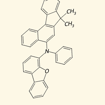 CC1(C)c2ccccc2-c2c1cc(N(c1ccccc1)c1cccc3c1oc1ccccc13)c1ccccc21